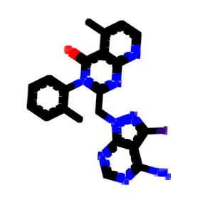 Cc1ccccc1-n1c(Cn2nc(I)c3c(N)ncnc32)nc2nccc(C)c2c1=O